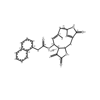 C=C1C(=O)OC2CC3=C[C@@H](C/C(C)=C/C(OC(=O)Cc4cccc5ccccc45)[C@H]12)OC3=O